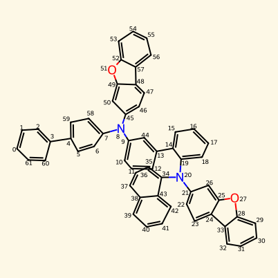 c1ccc(-c2ccc(N(c3cccc(-c4ccccc4N(c4ccc5c(c4)oc4ccccc45)c4cccc5ccccc45)c3)c3ccc4c(c3)oc3ccccc34)cc2)cc1